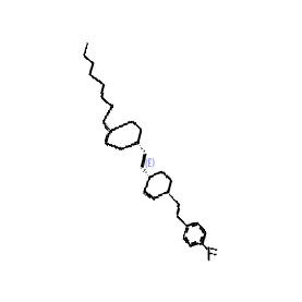 CCCCCCCC[C@H]1CC[C@H](/C=C/[C@H]2CC[C@H](CCc3ccc(F)cc3)CC2)CC1